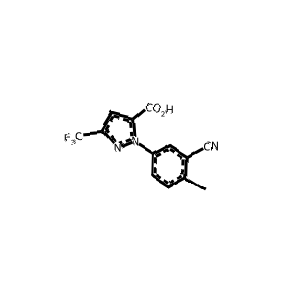 Cc1ccc(-n2nc(C(F)(F)F)cc2C(=O)O)cc1C#N